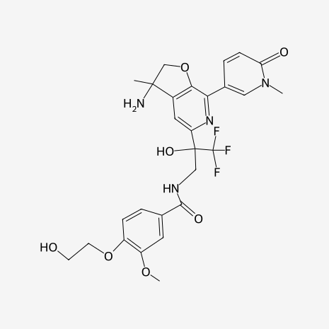 COc1cc(C(=O)NCC(O)(c2cc3c(c(-c4ccc(=O)n(C)c4)n2)OCC3(C)N)C(F)(F)F)ccc1OCCO